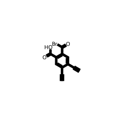 C#Cc1cc(C(=O)O)c(C(=O)Br)cc1C#C